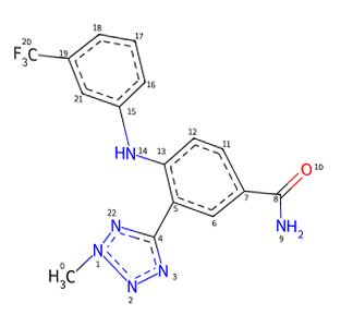 Cn1nnc(-c2cc(C(N)=O)ccc2Nc2cccc(C(F)(F)F)c2)n1